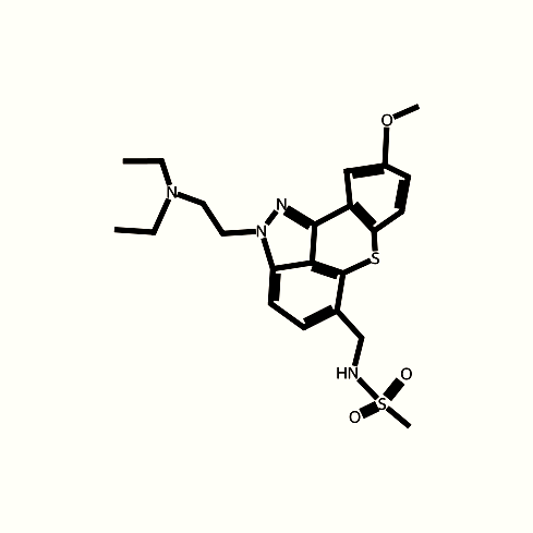 CCN(CC)CCn1nc2c3c(c(CNS(C)(=O)=O)ccc31)Sc1ccc(OC)cc1-2